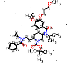 COCCCOc1cc(C(=O)N(C(C)C)C2CCC(CCN(C(=O)c3ccccc3)C3CC3)N(C(=O)OC(C)(C)C)C2)ccc1OC